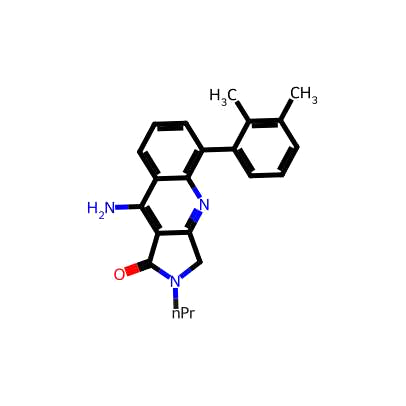 CCCN1Cc2nc3c(-c4cccc(C)c4C)cccc3c(N)c2C1=O